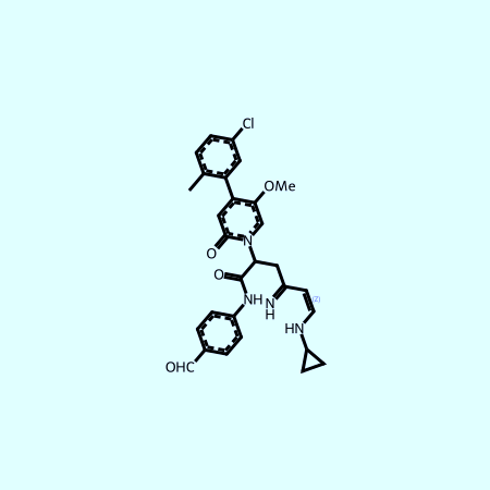 COc1cn(C(CC(=N)/C=C\NC2CC2)C(=O)Nc2ccc(C=O)cc2)c(=O)cc1-c1cc(Cl)ccc1C